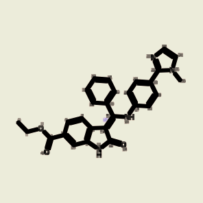 CCOC(=O)c1ccc2c(c1)NC(=O)/C2=C(\Nc1ccc(-c2nccn2C)cc1)c1ccccc1